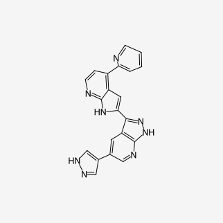 c1ccc(-c2ccnc3[nH]c(-c4n[nH]c5ncc(-c6cn[nH]c6)cc45)cc23)nc1